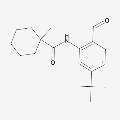 CC1(C(=O)Nc2cc(C(C)(C)C)ccc2C=O)CCCCC1